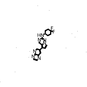 FC1(F)CCC(Nc2ncc3c(-c4cnc5nccnc5c4)ccn3n2)CC1